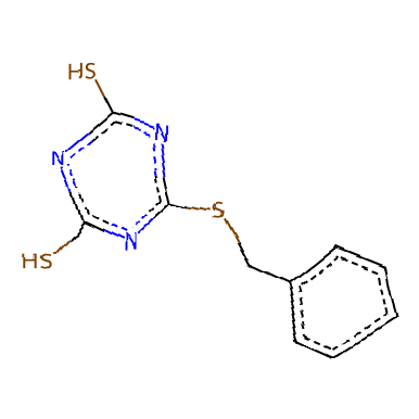 Sc1nc(S)nc(SCc2ccccc2)n1